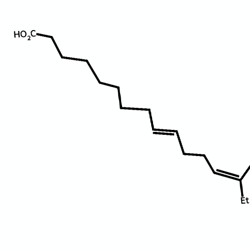 CCC(C)=CCCC=CCCCCCCCC(=O)O